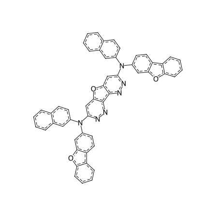 c1ccc2cc(N(c3ccc4c(c3)oc3ccccc34)c3cc4oc5cc(N(c6ccc7ccccc7c6)c6ccc7c(c6)oc6ccccc67)nnc5c4nn3)ccc2c1